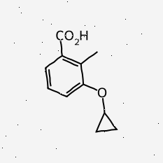 Cc1c(OC2CC2)cccc1C(=O)O